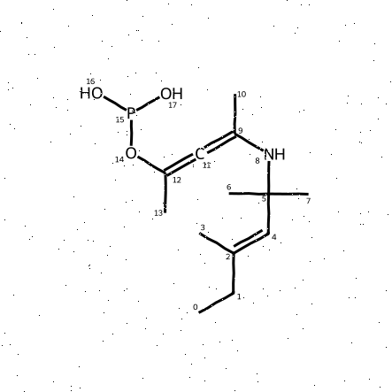 CC/C(C)=C/C(C)(C)NC(C)=C=C(C)OP(O)O